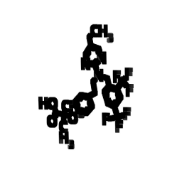 CCc1cnc(N(CCc2ccc(OC(C)(C)C(=O)O)cc2)Cc2ccc(C(F)(F)F)cc2C(F)(F)F)nc1